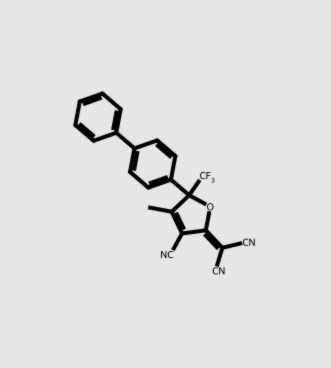 CC1=C(C#N)C(=C(C#N)C#N)OC1(c1ccc(-c2ccccc2)cc1)C(F)(F)F